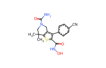 CC1(C)CN(C(N)=O)Cc2c1sc(C(=O)NO)c2-c1ccc(C#N)cc1